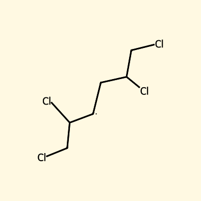 ClCC(Cl)[CH]CC(Cl)CCl